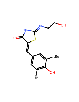 CC(C)(C)c1cc(/C=C2\S/C(=N\CCO)NC2=O)cc(C(C)(C)C)c1O